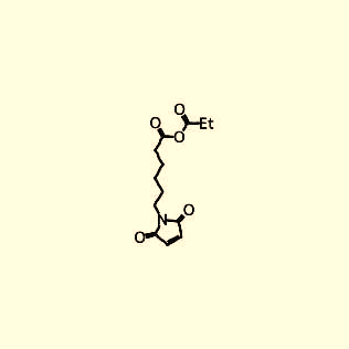 CCC(=O)OC(=O)CCCCCN1C(=O)C=CC1=O